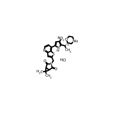 CC(c1[nH]c(-c2ccnc3cc(CN4C(=O)C5C(C4=O)C5(C)C)sc23)cc1[N+](=O)[O-])[C@H]1CNCCO1.Cl